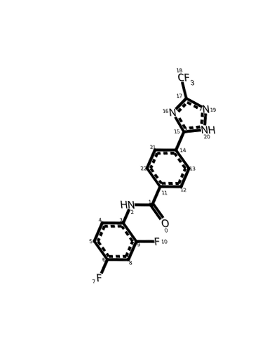 O=C(Nc1ccc(F)cc1F)c1ccc(-c2nc(C(F)(F)F)n[nH]2)cc1